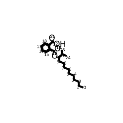 CCCCCCCCCCC(OC(=O)c1ccccc1C(=O)O)C(C)C